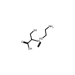 C=C.NC(CS)C(=O)O.NCCS